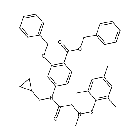 Cc1cc(C)c(SN(C)CC(=O)N(CC2CC2)c2ccc(C(=O)OCc3ccccc3)c(OCc3ccccc3)c2)c(C)c1